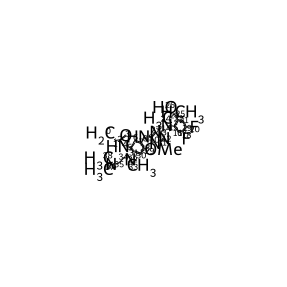 C=CC(=O)Nc1cc(Nc2ncnc(Nc3cc(F)c(F)cc3C(C)(C)O)n2)c(OC)cc1N(C)CCN(C)C